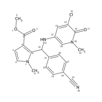 COC(=O)c1ccn(C)c1C(Nc1cc(Cl)c(=O)n(C)c1)c1ccc(C#N)cc1